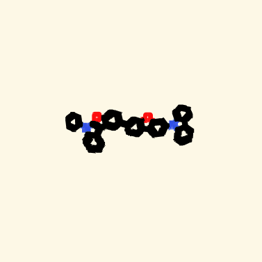 c1ccc(-n2c3ccccc3c3c4cc(-c5ccc6c(c5)oc5cc(-n7c8ccccc8c8ccccc87)ccc56)ccc4oc32)cc1